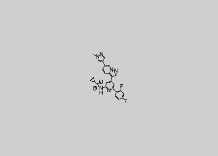 Cn1cc(-c2ccc3c(-c4cc(NS(=O)(=O)C5CC5)nc(-c5ccc(F)cc5F)c4)cnn3c2)cn1